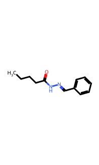 CCCCC(=O)NN=Cc1ccccc1